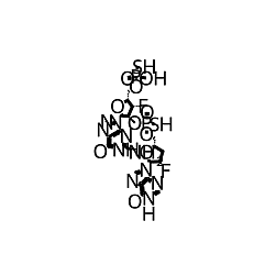 Nc1nc2c(nnn2[C@@H]2O[C@H](COP(=O)(O)S)[C@H](F)[C@H]2OP(=O)(S)OC[C@@H]2C[C@H](F)C(n3cnc4c(=O)[nH]cnc43)O2)c(=O)[nH]1